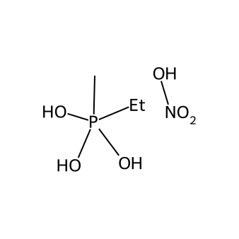 CCP(C)(O)(O)O.O=[N+]([O-])O